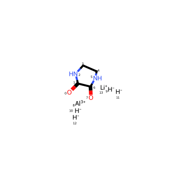 O=C1NCCNC1=O.[Al+3].[H-].[H-].[H-].[H-].[Li+]